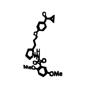 COc1ccc(OC)c(S(=O)(=O)NN2CCCC2CCCOc2ccc(C(=O)C3CC3)cc2)c1